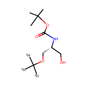 [2H]C([2H])([2H])OC[C@@H](CO)NC(=O)OC(C)(C)C